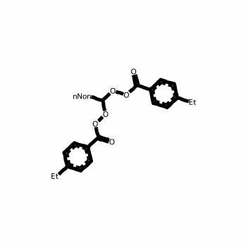 [CH2]CCCCCCCC[C](OOC(=O)c1ccc(CC)cc1)OOC(=O)c1ccc(CC)cc1